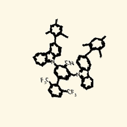 Cc1cc(C)c(-c2ccc3c(c2)c2ccccc2n3-c2cc(-c3c(C(F)(F)F)cccc3C(F)(F)F)cc(-n3c4ccccc4c4cc(-c5c(C)cc(C)cc5C)ccc43)c2C#N)c(C)c1